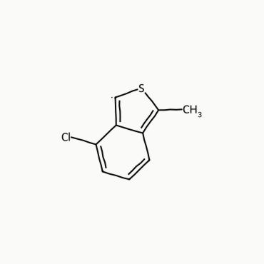 Cc1s[c]c2c(Cl)cccc12